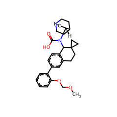 COCOc1ccccc1-c1ccc2c(c1)CCC1(CC1)C2N(C(=O)O)[C@@H]1CN2CCC1CC2